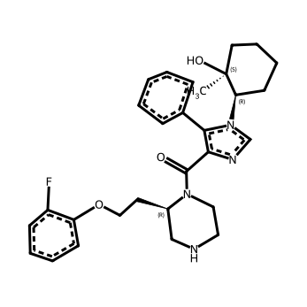 C[C@]1(O)CCCC[C@H]1n1cnc(C(=O)N2CCNC[C@H]2CCOc2ccccc2F)c1-c1ccccc1